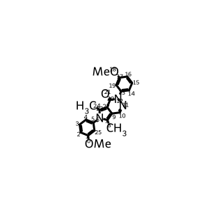 COc1cccc(-n2c(C)c3cnn(-c4cccc(OC)c4)c(=O)c3c2C)c1